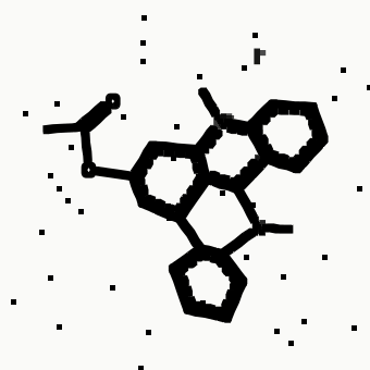 CC(=O)Oc1cc2c3c(c4ccccc4[n+](C)c3c1)N(C)c1ccccc1-2.[I-]